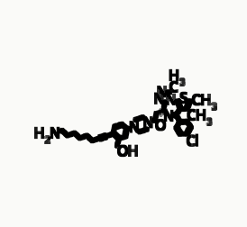 Cc1sc2c(c1C)C(c1ccc(Cl)cc1)=N[C@@H](CC(=O)N1CCN(c3ccc(C#CCCCCCCN)c(CO)c3)CC1)c1nnc(C)n1-2